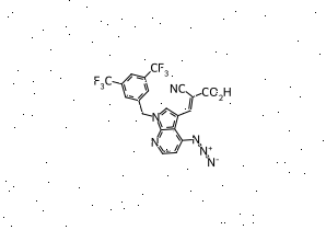 N#C/C(=C\c1cn(Cc2cc(C(F)(F)F)cc(C(F)(F)F)c2)c2nccc(N=[N+]=[N-])c12)C(=O)O